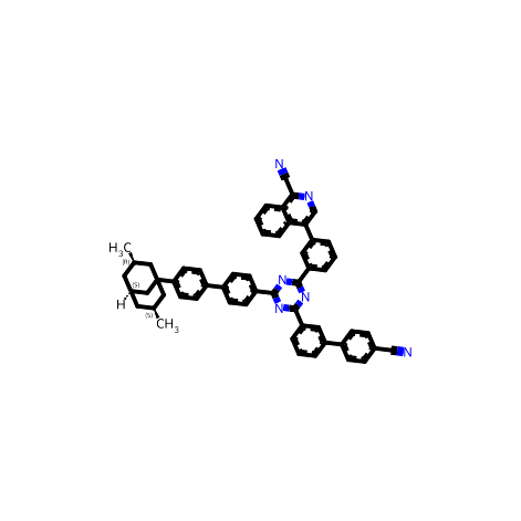 C[C@@H]1C[C@@H]2C[C@H](C)CC(c3ccc(-c4ccc(-c5nc(-c6cccc(-c7ccc(C#N)cc7)c6)nc(-c6cccc(-c7cnc(C#N)c8ccccc78)c6)n5)cc4)cc3)(C1)C2